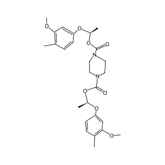 COc1cc(O[C@@H](C)OC(=O)N2CCN(C(=O)O[C@H](C)Oc3ccc(C)c(OC)c3)CC2)ccc1C